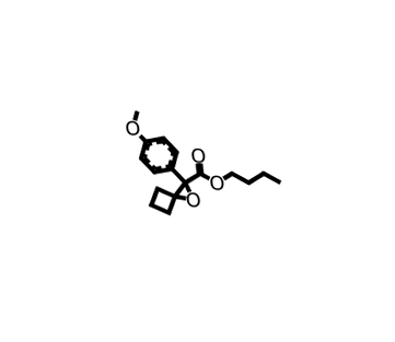 CCCCOC(=O)C1(c2ccc(OC)cc2)OC12CCC2